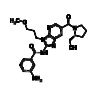 COCCCn1c(NC(=O)c2cccc(N)c2)nc2cc(C(=O)N3CCC[C@H]3CO)cnc21